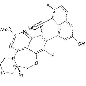 C#Cc1c(F)ccc2cc(O)cc(-c3c(F)c4c5c(nc(OC)nc5c3F)N3CCNC[C@H]3CO4)c12